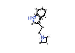 c1ccc2c(CCN3CCC3)c[nH]c2c1